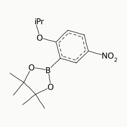 CC(C)Oc1ccc([N+](=O)[O-])cc1B1OC(C)(C)C(C)(C)O1